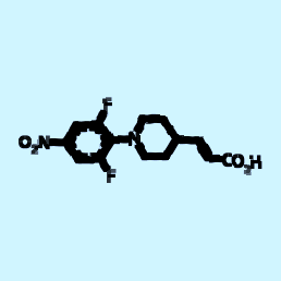 O=C(O)C=CC1CCN(c2c(F)cc([N+](=O)[O-])cc2F)CC1